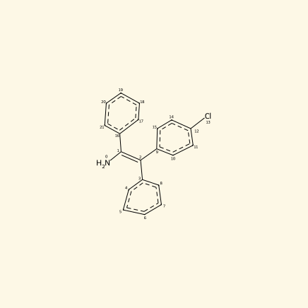 NC(=C(c1ccccc1)c1ccc(Cl)cc1)c1ccccc1